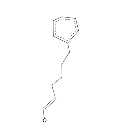 [O]C=CCCCCc1ccccc1